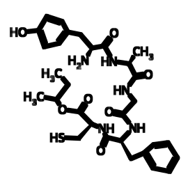 CCC(C)OC(=O)[C@H](CS)NC(=O)[C@H](Cc1ccccc1)NC(=O)CNC(=O)[C@H](C)NC(=O)[C@@H](N)Cc1ccc(O)cc1